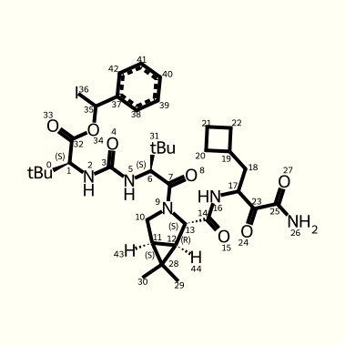 CC(C)(C)[C@H](NC(=O)N[C@H](C(=O)N1C[C@H]2[C@@H]([C@H]1C(=O)NC(CC1CCC1)C(=O)C(N)=O)C2(C)C)C(C)(C)C)C(=O)OC(I)c1ccccc1